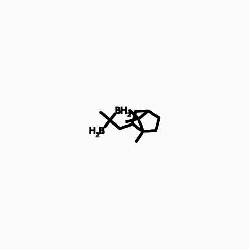 BC(B)(C)CC1CC2CCC1(C)C2(C)C